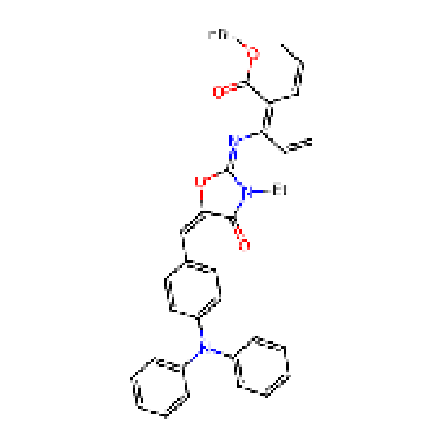 C=CC(/N=C1/O/C(=C/c2ccc(N(c3ccccc3)c3ccccc3)cc2)C(=O)N1CC)=C(\C=C/C)C(=O)OCCCC